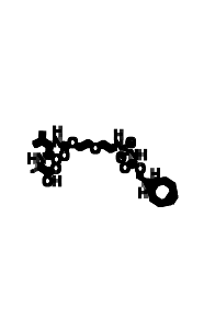 CC(C)[C@H](NC(=O)OCCOCCNS(=O)(=O)NC(=O)OC[C@@H]1[C@@H]2CCC#CCC[C@@H]21)C(=O)N[C@@H](C)C(=O)O